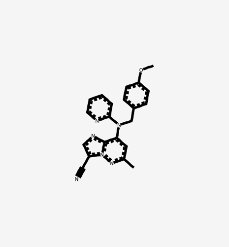 COc1ccc(CN(c2ccccn2)c2cc(C)nn3c(C#N)cnc23)cc1